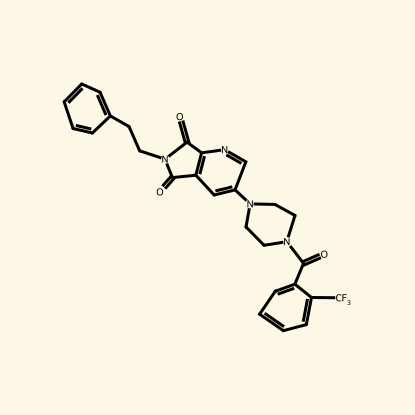 O=C(c1ccccc1C(F)(F)F)N1CCN(c2cnc3c(c2)C(=O)N(CCc2ccccc2)C3=O)CC1